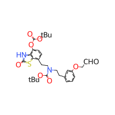 CC(C)(C)OC(=O)Oc1ccc(CCN(CCc2cccc(OCC=O)c2)C(=O)OC(C)(C)C)c2sc(=O)[nH]c12